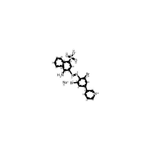 Nc1c(N=Nc2c(Br)cc(-c3cccnc3)cc2Br)cc(S(=O)(=O)[O-])c2ccccc12.[Na+]